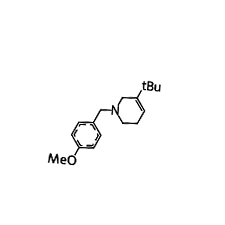 COc1ccc(CN2CCC=C(C(C)(C)C)C2)cc1